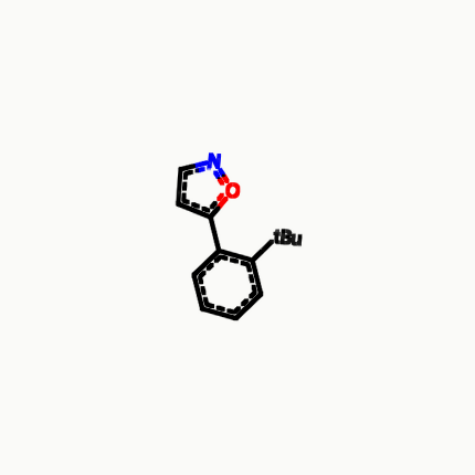 CC(C)(C)c1ccccc1-c1ccno1